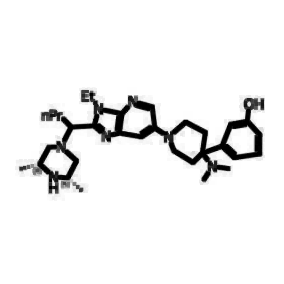 CCCC(c1nc2cc(N3CCC(c4cccc(O)c4)(N(C)C)CC3)cnc2n1CC)N1C[C@@H](C)N[C@@H](C)C1